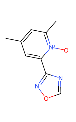 Cc1cc(C)[n+]([O-])c(-c2ncon2)c1